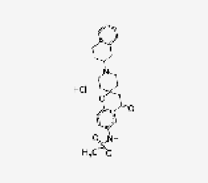 CS(=O)(=O)Nc1ccc2c(c1)C(=O)CC1(CCN(C3CCc4ccccc4C3)CC1)O2.Cl